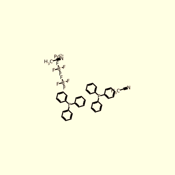 CC#N.CC#N.F[B-](F)(F)F.F[B-](F)(F)F.[Pd+2].c1ccc(P(c2ccccc2)c2ccccc2)cc1.c1ccc(P(c2ccccc2)c2ccccc2)cc1